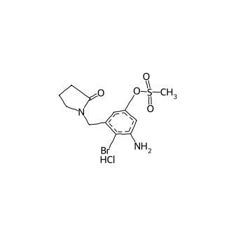 CS(=O)(=O)Oc1cc(N)c(Br)c(CN2CCCC2=O)c1.Cl